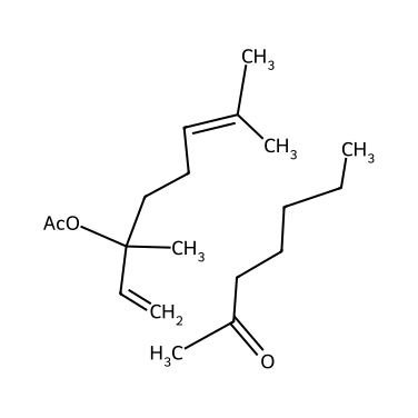 C=CC(C)(CCC=C(C)C)OC(C)=O.CCCCCC(C)=O